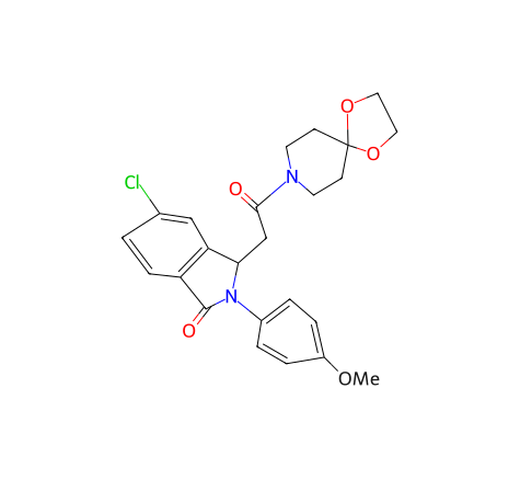 COc1ccc(N2C(=O)c3ccc(Cl)cc3C2CC(=O)N2CCC3(CC2)OCCO3)cc1